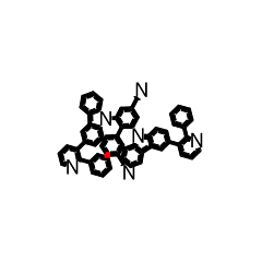 N#Cc1cccc(-c2c(-n3c4ccccc4c4cc(-c5cccnc5-c5ccccc5)ccc43)cc(C#N)cc2-n2c3ccccc3c3cc(-c4cccnc4-c4ccccc4)ccc32)c1